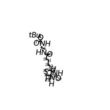 CC(C)(C)OC(=O)NCCNC(=O)CCCC[C@@H]1SC[C@@H]2NC(=O)N[C@@H]21